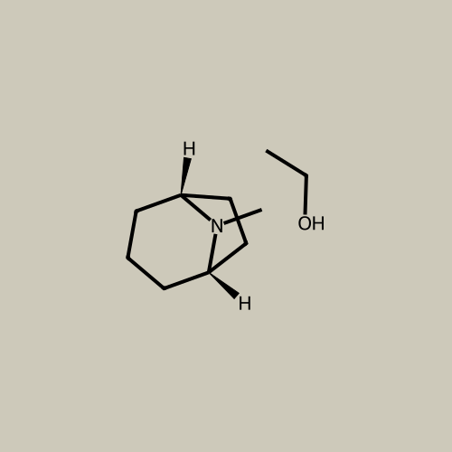 CCO.CN1[C@@H]2CCC[C@H]1CC2